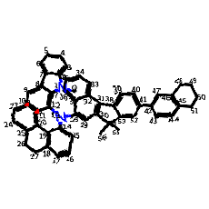 Cn1c2ccccc2c2cccc(N(c3cccc4c3-c3ccccc3CC4)c3cc4c(c5ccccc35)-c3ccc(-c5ccc6c(c5)CCCC6)cc3C4(C)C)c21